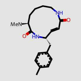 CN[C@H]1CCCCNC(=O)/C=C/[C@H](Cc2ccc(C)cc2)NC1=O